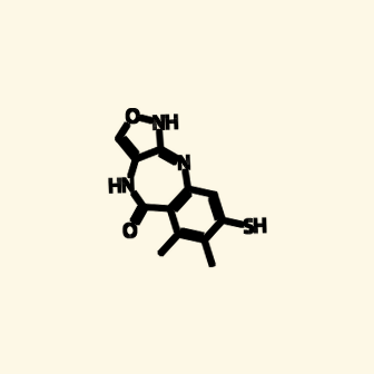 Cc1c(S)cc2c(c1C)C(=O)NC1=CONC1=N2